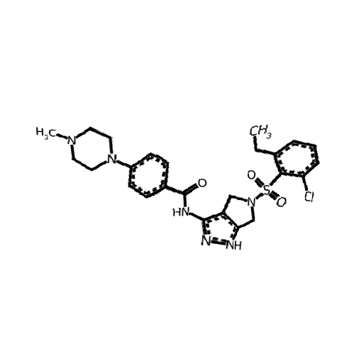 CCc1cccc(Cl)c1S(=O)(=O)N1Cc2[nH]nc(NC(=O)c3ccc(N4CCN(C)CC4)cc3)c2C1